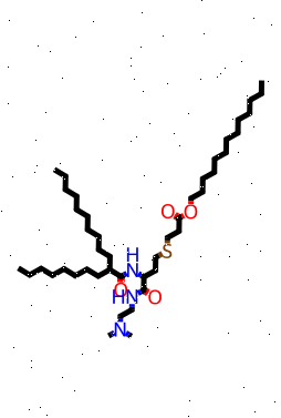 CCCCCCCCCCCCCOC(=O)CCSCCC(NC(=O)C(CCCCCCCC)CCCCCCCCCC)C(=O)NCCN(C)C